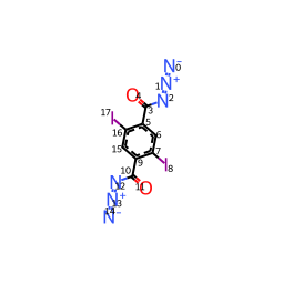 [N-]=[N+]=NC(=O)c1cc(I)c(C(=O)N=[N+]=[N-])cc1I